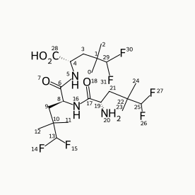 CC(C)(C[C@H](NC(=O)[C@H](CC(C)(C)C(F)F)NC(=O)[C@@H](N)CC(C)(C)C(F)F)C(=O)O)C(F)F